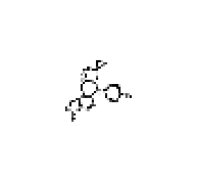 C[C@@H]1Cc2c(ccc3[nH]ncc23)[C@@H](c2ccc(Br)cn2)N1CC1(F)CC1